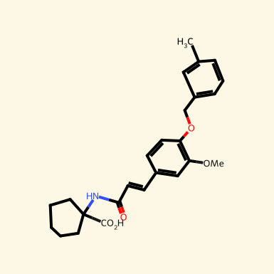 COc1cc(C=CC(=O)NC2(C(=O)O)CCCCC2)ccc1OCc1cccc(C)c1